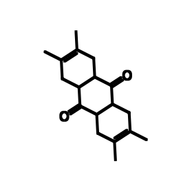 CC1=C(C)CC2C(=O)C3CC(C)=C(C)CC3C(=O)C2C1